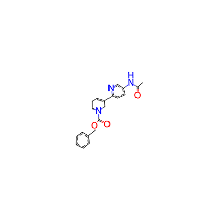 CC(=O)Nc1ccc(C2=CCCN(C(=O)OCc3ccccc3)C2)nc1